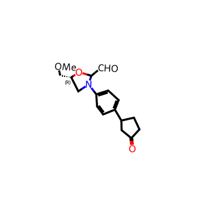 COC[C@H]1CN(c2ccc(C3CCC(=O)C3)cc2)C(C=O)O1